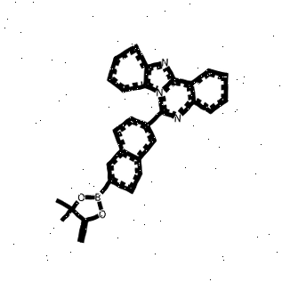 C=C1OB(c2ccc3cc(-c4nc5ccccc5c5nc6ccccc6n45)ccc3c2)OC1(C)C